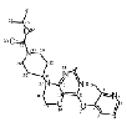 Cc1ncccc1Oc1ncnc2c1OCCN2C1CCN(C(=O)OC(C)C)CC1